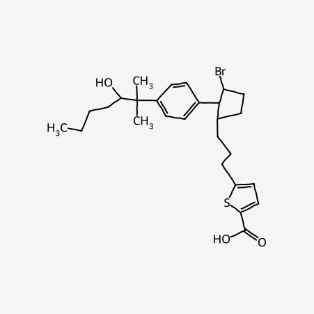 CCCCC(O)C(C)(C)c1ccc(C2C(Br)CCC2CCCc2ccc(C(=O)O)s2)cc1